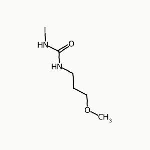 COCCCNC(=O)NI